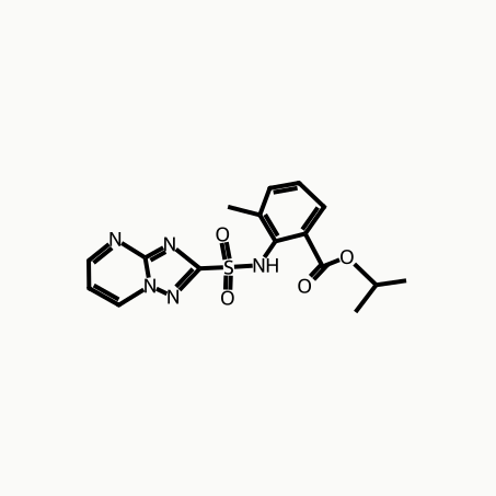 Cc1cccc(C(=O)OC(C)C)c1NS(=O)(=O)c1nc2ncccn2n1